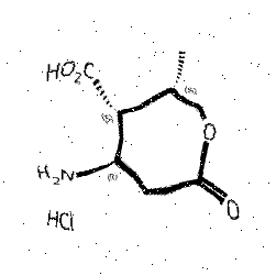 C[C@@H]1OC(=O)C[C@@H](N)[C@@H]1C(=O)O.Cl